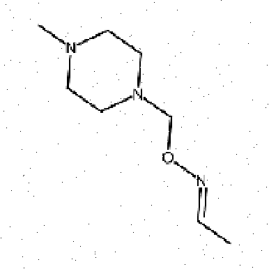 CC=NOCN1CCN(C)CC1